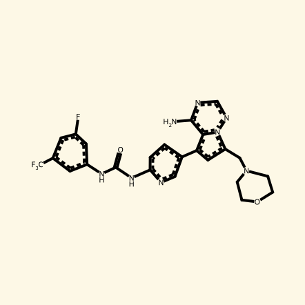 Nc1ncnn2c(CN3CCOCC3)cc(-c3ccc(NC(=O)Nc4cc(F)cc(C(F)(F)F)c4)nc3)c12